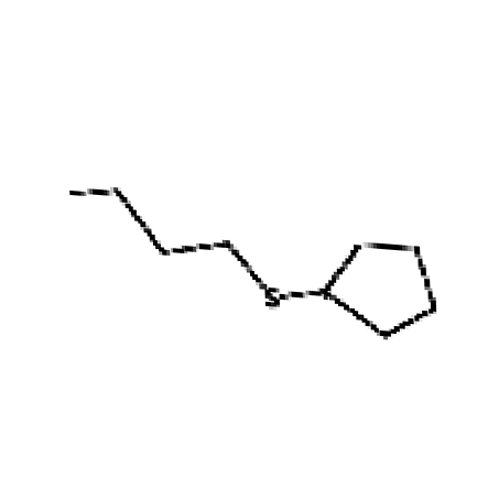 CCCCS[C]1CCCC1